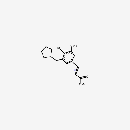 COC(=O)/C=C/c1cc(CN2CCCC2)c(O)c(OC)c1